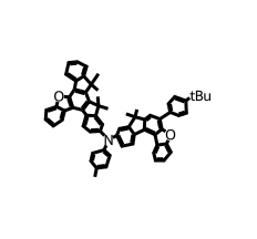 Cc1ccc(N(c2ccc3c(c2)C(C)(C)c2cc(-c4ccc(C(C)(C)C)cc4)c4oc5ccccc5c4c2-3)c2ccc3c(c2)C(C)(C)c2c4c(c5oc6ccccc6c5c2-3)-c2ccccc2C4(C)C)cc1